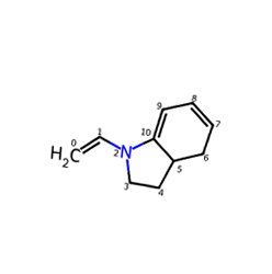 C=CN1CCC2CC=CC=C21